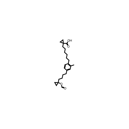 Cc1cc(CCCCC2(OC=O)CC2)ccc1CCCCCCC1(C(=O)O)CC1